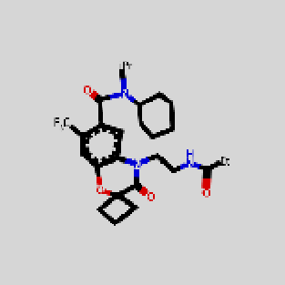 CCC(=O)NCCN1C(=O)C2(CCC2)Oc2cc(C(F)(F)F)c(C(=O)N(C(C)C)C3CCCCC3)cc21